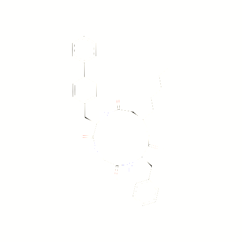 CCCC[C@H](C)[C@@H]1CC(=O)N[C@H](CC2=CCC(c3ccccc3)C=C2)C(=O)N[C@@H](C)C(=O)N[C@H](Cc2ccccc2)C(=O)O1